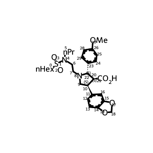 CCCCCCS(=O)(=O)N(CCC)CCN1C[C@H](c2ccc3c(c2)OCO3)[C@H](C(=O)O)[C@H]1c1ccc(OC)cc1